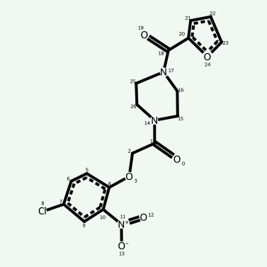 O=C(COc1ccc(Cl)cc1[N+](=O)[O-])N1CCN(C(=O)c2ccco2)CC1